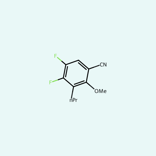 CCCc1c(F)c(F)cc(C#N)c1OC